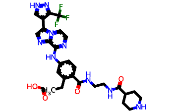 CCc1cc(Nc2nccn3c(-c4c[nH]nc4C(F)(F)F)cnc23)ccc1C(=O)NCCNC(=O)C1CCNCC1.O=CO